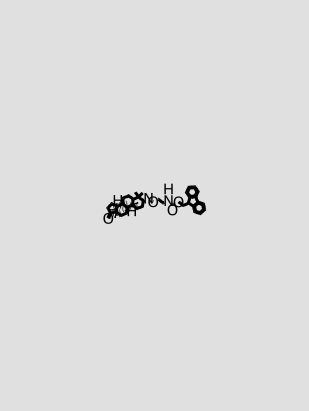 CC1(C)C(=NOCCNC(=O)OCC2c3ccccc3-c3ccccc32)CC[C@@]2(C)C1CC[C@@H]1[C@@H]2CC[C@]2(C)C(=O)CC[C@@H]12